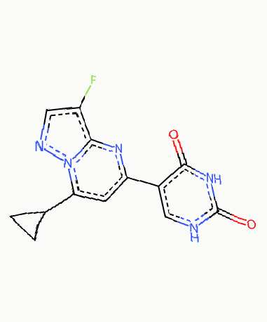 O=c1[nH]cc(-c2cc(C3CC3)n3ncc(F)c3n2)c(=O)[nH]1